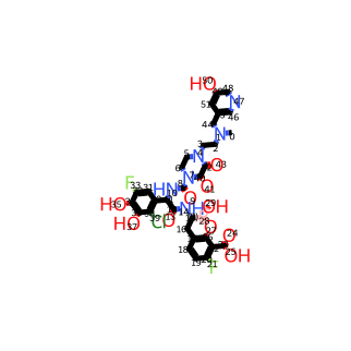 CN(CCN1CCN(C(=O)NC(C(=O)N[C@H]2Cc3ccc(F)c(C(=O)O)c3OB2O)c2cc(F)c(O)c(O)c2Cl)C(=O)C1=O)Cc1cncc(O)c1